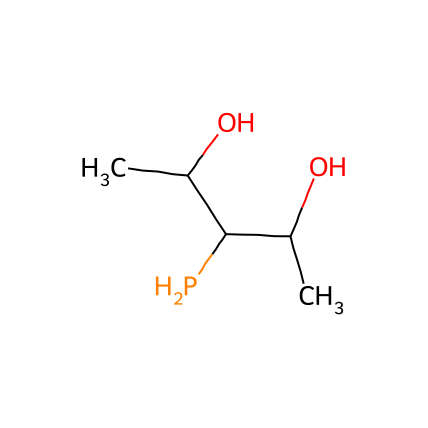 CC(O)C(P)C(C)O